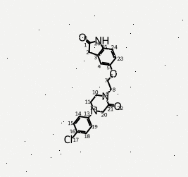 O=C1Cc2cc(OCCN3CCN(c4ccc(Cl)cc4)CC3=O)ccc2N1